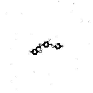 O=C(Cc1cc(F)ccc1Cl)Nc1ccc(COc2ccc(F)cn2)c(Br)c1